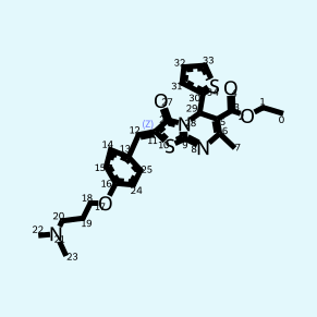 CCOC(=O)C1=C(C)N=c2s/c(=C\c3ccc(OCCCN(C)C)cc3)c(=O)n2C1c1cccs1